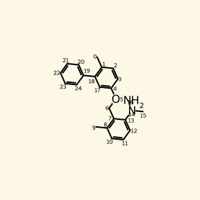 Cc1ccc(OCc2c(C)cccc2N(C)N)cc1-c1ccccc1